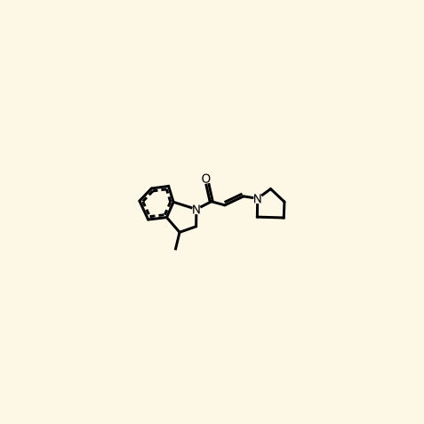 CC1CN(C(=O)C=CN2CCCC2)c2ccccc21